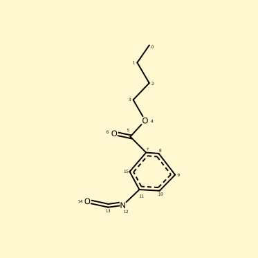 CCCCOC(=O)c1cccc(N=C=O)c1